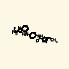 CCn1cc(C(=O)N[C@H]2CC[C@@H](Nc3cccc4nc(C(F)(F)F)cn34)CC2)cn1